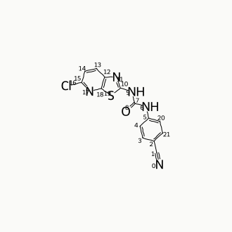 N#Cc1ccc(NC(=O)Nc2nc3ccc(Cl)nc3s2)cc1